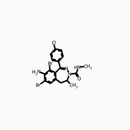 CNC(=O)N1N=C(c2ccc(Cl)cc2)c2c(cc(Br)c(N)c2Br)CC1C